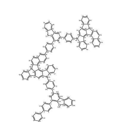 c1ccc(-c2ccc(-c3nc(-c4ccc(-n5c6ccccc6c6c7c8c9ccc(-c%10ccc(-c%11nc(-c%12ccc(-n%13c%14ccccc%14c%14c%15c%16c%17ccccc%17ccc%16n%16c%17ccccc%17c(cc%14%13)c%15%16)cc%12)nc%12c%11sc%11ccccc%11%12)cc%10)cc9ccc8n8c9ccccc9c(cc65)c78)cc4)nc4c3oc3ccccc34)cc2)cc1